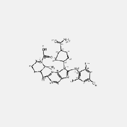 CC1C(Nc2ncc3nc(Nc4c(F)cc(Cl)cc4F)n(C4CCC(C(N)=O)CC4)c3n2)CCCN1C(=O)O